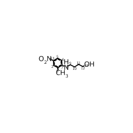 Cc1cc([N+](=O)[O-])ccc1NCCCCO